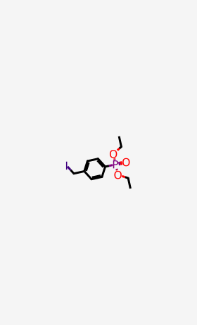 CCOP(=O)(OCC)c1ccc(CI)cc1